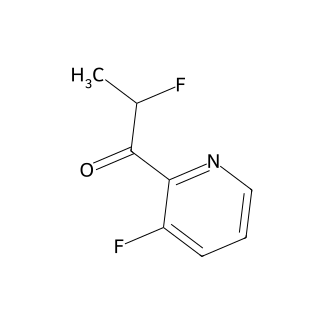 CC(F)C(=O)c1ncccc1F